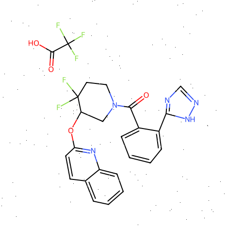 O=C(O)C(F)(F)F.O=C(c1ccccc1-c1ncn[nH]1)N1CCC(F)(F)C(Oc2ccc3ccccc3n2)C1